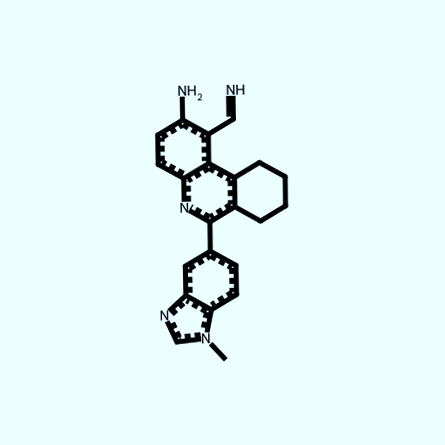 Cn1cnc2cc(-c3nc4ccc(N)c(C=N)c4c4c3CCCC4)ccc21